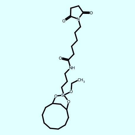 CCO[Si]1(CCCNC(=O)CCCCCN2C(=O)CCC2=O)OC2CCCCCCCC(C2)O1